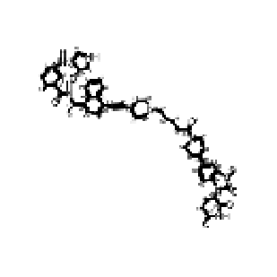 Cc1ccc(N[C@H]2CNC[C@H]2O)cc1C(=O)N[C@H](C)c1ccc(C#CC2CCN(CCCCC(=O)N3CCC(c4ccc5c(c4)n(C)c(=O)n5C4CCC(=O)NC4=O)CC3)CC2)c2ccccc12